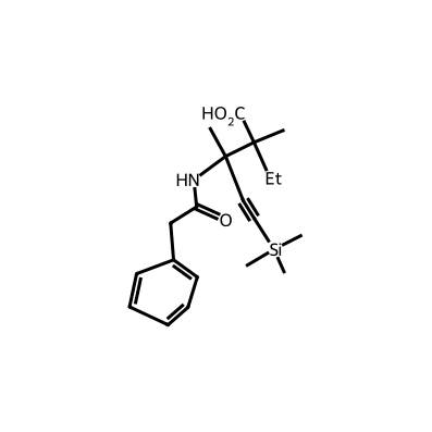 CCC(C)(C(=O)O)C(C)(C#C[Si](C)(C)C)NC(=O)Cc1ccccc1